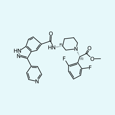 COC(=O)[C@H](c1c(F)cccc1F)N1CCC[C@@H](NC(=O)c2ccc3[nH]nc(-c4ccncc4)c3c2)C1